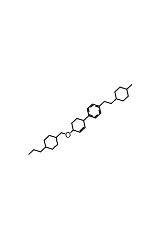 CCCC1CCC(COC2C=CC(c3ccc(CCC4CCC(C)CC4)cc3)CC2)CC1